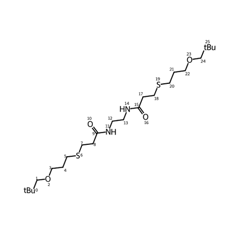 CC(C)(C)COCCCSCCC(=O)NCCNC(=O)CCSCCCOCC(C)(C)C